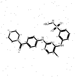 CCCCNS(=O)(=O)c1cccc(Nc2nc(Nc3ccc(C(=O)N4CCOCC4)cc3)ncc2C)c1